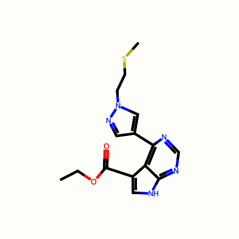 CCOC(=O)c1c[nH]c2ncnc(-c3cnn(CCSC)c3)c12